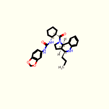 CCC[C@@H]1Nc2ccccc2[C@H]2[C@@H]1CCN2C(=O)[C@H]1CCCC[C@H]1NC(=O)Nc1ccc2c(c1)OCO2